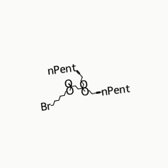 CCCCCC#CCCOC(CCC(=O)OCCCCCCBr)OCCC#CCCCCC